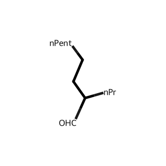 CCCCCCCC(C=O)CCC